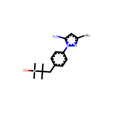 CCCCc1cc(N)n(-c2ccc(CC(C)(C)[Si](C)(C)O)cc2)n1